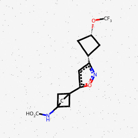 O=C(O)NC12CC(c3cc([C@H]4C[C@@H](OC(F)(F)F)C4)no3)(C1)C2